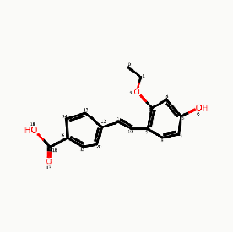 CCOc1cc(O)ccc1/C=C/c1ccc(C(=O)O)cc1